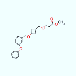 COC(=O)CCOCC1CC(OCc2cccc(Oc3ccccc3)c2)C1